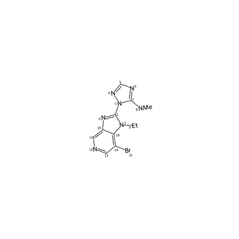 CCn1c(-n2ncnc2NC)nc2cncc(Br)c21